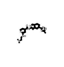 Cc1nnc(-c2ccc3cnc(NC(=O)c4ccnc(NCCN(C)C)c4)cc3c2)s1